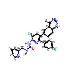 Cc1ncnc2ccc(-c3cc(F)c(NC(=O)N(C)Cc4ccccn4)nc3-c3ccc(F)cc3)cc12